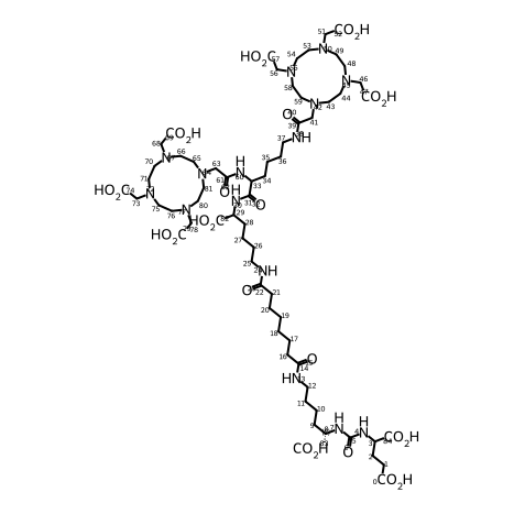 O=C(O)CCC(NC(=O)N[C@@H](CCCCNC(=O)CCCCCCC(=O)NCCCCC(NC(=O)C(CCCCNC(=O)CN1CCN(CC(=O)O)CCN(CC(=O)O)CCN(CC(=O)O)CC1)NC(=O)CN1CCN(CC(=O)O)CCN(CC(=O)O)CCN(CC(=O)O)CC1)C(=O)O)C(=O)O)C(=O)O